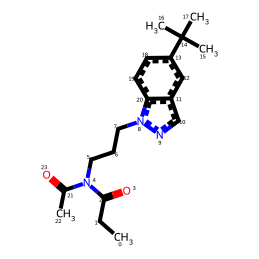 CCC(=O)N(CCCn1ncc2cc(C(C)(C)C)ccc21)C(C)=O